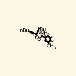 CCCCC#CC(=O)N(NC(=O)c1cccc(C)c1)C(C)(C)C